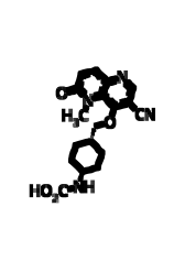 Cn1c(=O)ccc2ncc(C#N)c(OC[C@H]3CC[C@H](NC(=O)O)CC3)c21